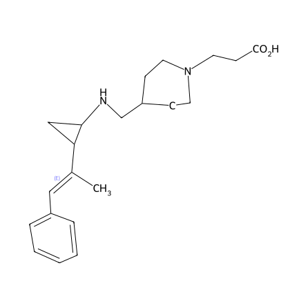 C/C(=C\c1ccccc1)C1CC1NCC1CCN(CCC(=O)O)CC1